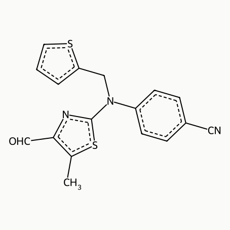 Cc1sc(N(Cc2cccs2)c2ccc(C#N)cc2)nc1C=O